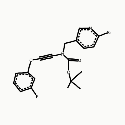 CC(C)(C)OC(=O)N(C#COc1cccc(F)c1)Cc1ccc(Br)nc1